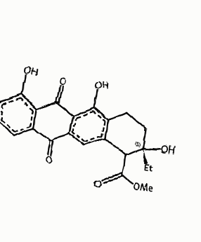 CC[C@]1(O)CCc2c(cc3c(c2O)C(=O)c2c(O)cccc2C3=O)C1C(=O)OC